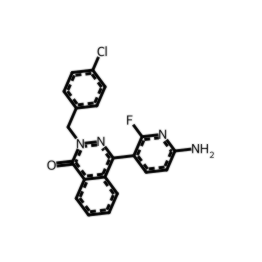 Nc1ccc(-c2nn(Cc3ccc(Cl)cc3)c(=O)c3ccccc23)c(F)n1